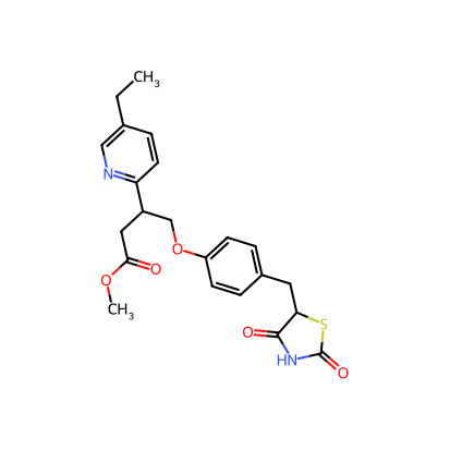 CCc1ccc(C(COc2ccc(CC3SC(=O)NC3=O)cc2)CC(=O)OC)nc1